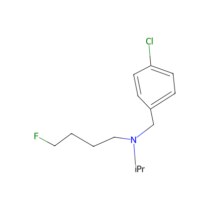 CC(C)N(CCCCF)Cc1ccc(Cl)cc1